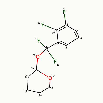 Fc1cccc(C(F)(F)OC2CCCCO2)c1F